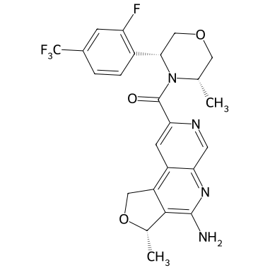 C[C@@H]1OCc2c1c(N)nc1cnc(C(=O)N3[C@@H](C)COC[C@H]3c3ccc(C(F)(F)F)cc3F)cc21